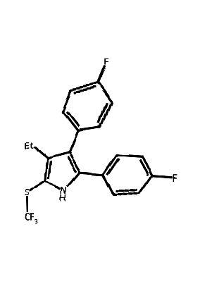 CCc1c(SC(F)(F)F)[nH]c(-c2ccc(F)cc2)c1-c1ccc(F)cc1